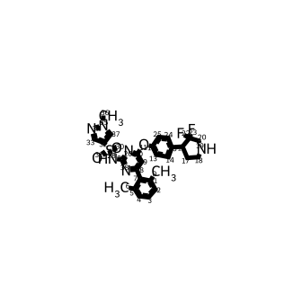 Cc1cccc(C)c1-c1cc(Oc2ccc(C3CCNCC3(F)F)cc2)nc(NS(=O)(=O)c2cnn(C)c2)n1